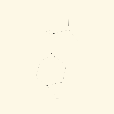 CCC1(C)CCN(C(=O)N(C)C)CC1